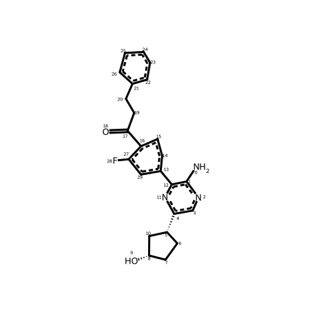 Nc1ncc([C@@H]2CC[C@H](O)C2)nc1-c1ccc(C(=O)CCc2ccccc2)c(F)c1